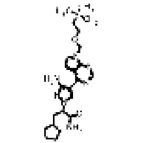 C[Si](C)(C)CCOCn1ccc2c(-c3cn(C(CC4CCCC4)C(N)=O)nc3N)ncnc21